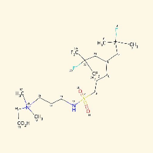 CC(C)(F)CC(CCCS(=O)(=O)NCCC[N+](C)(C)CC(=O)O)CC(F)(C(F)(F)F)C(F)(F)F